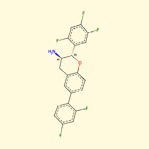 N[C@@H]1Cc2cc(-c3ccc(F)cc3F)ccc2O[C@H]1c1cc(F)c(F)cc1F